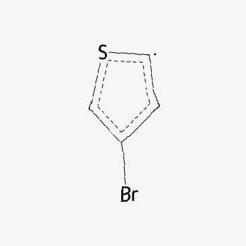 Brc1c[c]sc1